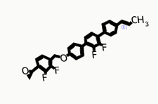 C/C=C/c1ccc(-c2ccc(-c3ccc(OCc4ccc(C5CO5)c(F)c4F)cc3)c(F)c2F)cc1